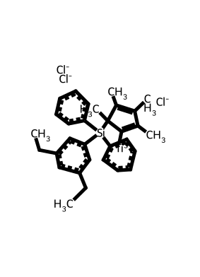 CCc1cc(CC)cc([Si](c2ccccc2)(c2ccccc2)C2(C)C(C)=C(C)C(C)=[C]2[Ti+3])c1.[Cl-].[Cl-].[Cl-]